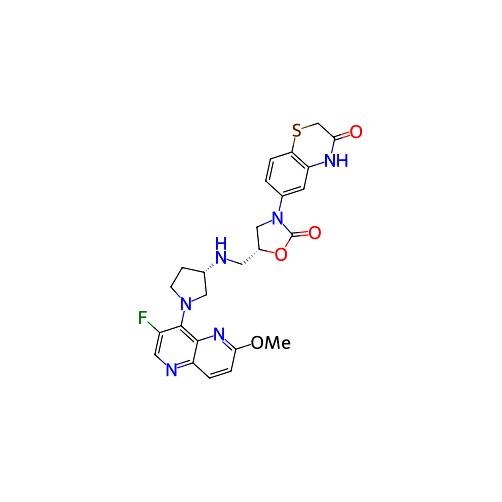 COc1ccc2ncc(F)c(N3CC[C@H](NC[C@@H]4CN(c5ccc6c(c5)NC(=O)CS6)C(=O)O4)C3)c2n1